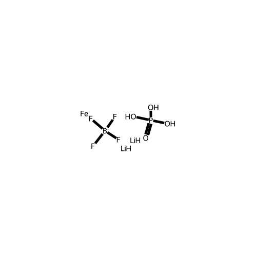 F[B-](F)(F)F.O=P(O)(O)O.[Fe].[LiH].[LiH]